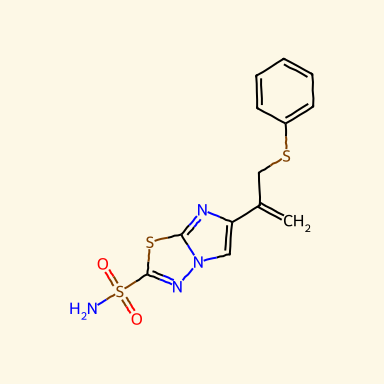 C=C(CSc1ccccc1)c1cn2nc(S(N)(=O)=O)sc2n1